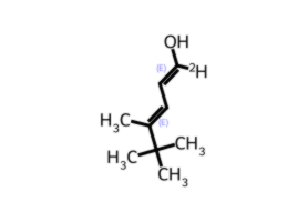 [2H]/C(O)=C\C=C(/C)C(C)(C)C